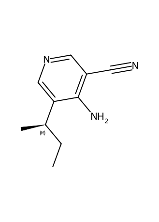 CC[C@@H](C)c1cncc(C#N)c1N